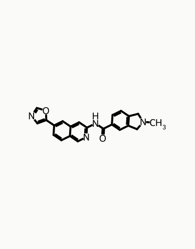 CN1Cc2ccc(C(=O)Nc3cc4cc(-c5cnco5)ccc4cn3)cc2C1